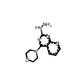 NNc1nc(N2CCOCC2)c2cccnc2n1